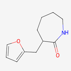 O=C1NCCCCC1Cc1ccco1